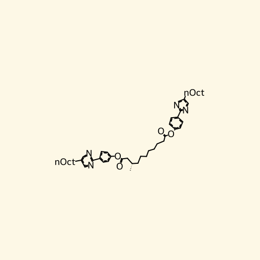 CCCCCCCCc1cnc(-c2ccc(OC(=O)CCCCCCC[C@H](C)CC(=O)Oc3ccc(-c4ncc(CCCCCCCC)cn4)cc3)cc2)nc1